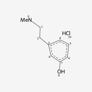 CNCCc1cccc(O)c1.Cl